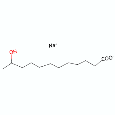 CC(O)CCCCCCCCCC(=O)[O-].[Na+]